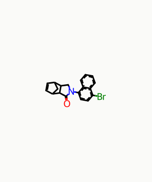 O=C1C2C3C=CC(C3)C2CN1c1ccc(Br)c2ccccc12